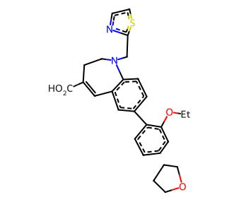 C1CCOC1.CCOc1ccccc1-c1ccc2c(c1)C=C(C(=O)O)CCN2Cc1nccs1